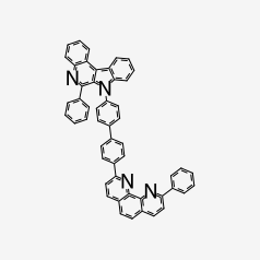 c1ccc(-c2ccc3ccc4ccc(-c5ccc(-c6ccc(-n7c8ccccc8c8c9ccccc9nc(-c9ccccc9)c87)cc6)cc5)nc4c3n2)cc1